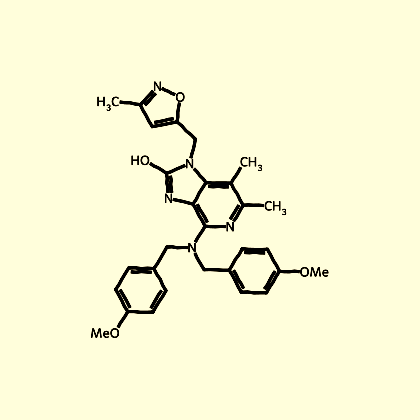 COc1ccc(CN(Cc2ccc(OC)cc2)c2nc(C)c(C)c3c2nc(O)n3Cc2cc(C)no2)cc1